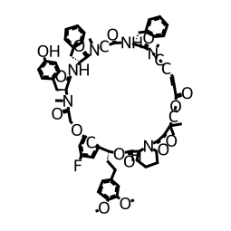 COc1ccc(CC[C@H]2OC(=O)[C@@H]3CCCCN3C(=O)C(=O)C(C)(C)COC(=O)/C=C/CCN(C)C(=O)[C@@H](Cc3ccccc3)NC(=O)CN(C)C(=O)[C@@H](Cc3ccccc3)NC(=O)[C@H](Cc3ccc(O)cc3)N(C)C(=O)COc3cc(F)cc2c3)cc1OC